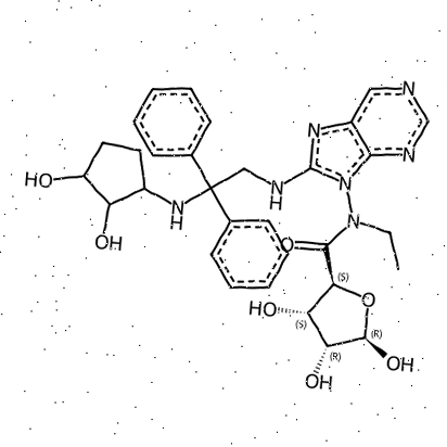 CCN(C(=O)[C@H]1O[C@@H](O)[C@H](O)[C@@H]1O)n1c(NCC(NC2CCC(O)C2O)(c2ccccc2)c2ccccc2)nc2cncnc21